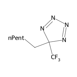 CCCCCCC1(C(F)(F)F)N=NN=N1